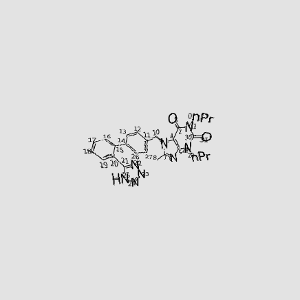 CCCn1c(=O)c2c(nc(C)n2Cc2ccc(-c3ccccc3-c3nnn[nH]3)cc2)n(CCC)c1=O